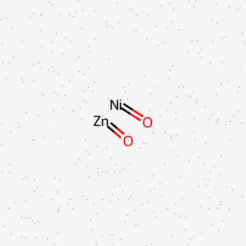 [O]=[Ni].[O]=[Zn]